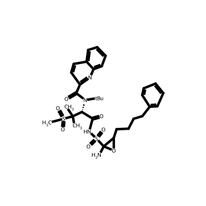 CC(C)(C)N(C(=O)c1ccc2ccccc2n1)[C@H](C(=O)NS(=O)(=O)C1(N)OC1CCCCc1ccccc1)C(C)(C)S(C)(=O)=O